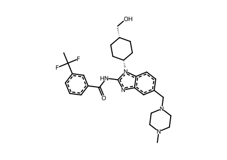 CN1CCN(Cc2ccc3c(c2)nc(NC(=O)c2cccc(C(C)(F)F)c2)n3[C@H]2CC[C@@H](CO)CC2)CC1